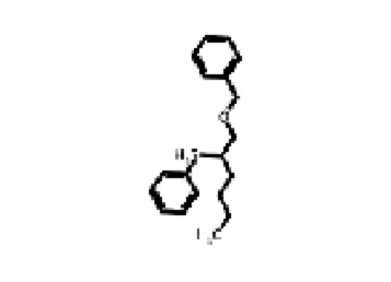 CCCCC(COCc1ccccc1)[SiH2]c1ccccc1